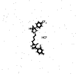 Cl.Cn1c(CCCCN2C[C@@H]3C[C@]3(c3ccc(C(F)(F)F)cc3)C2)nnc1-c1ccc(F)cc1F